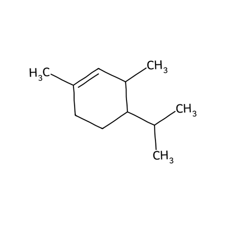 CC1=CC(C)C(C(C)C)CC1